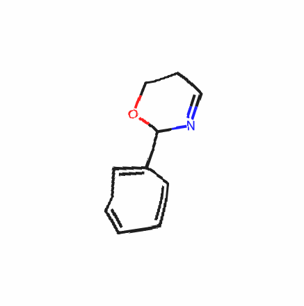 C1=NC(c2ccccc2)OCC1